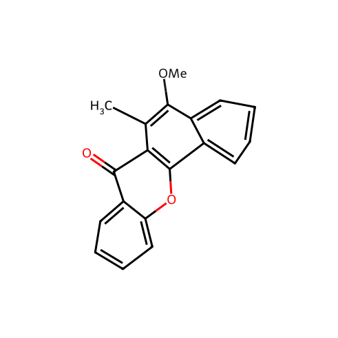 COc1c(C)c2c(=O)c3ccccc3oc2c2ccccc12